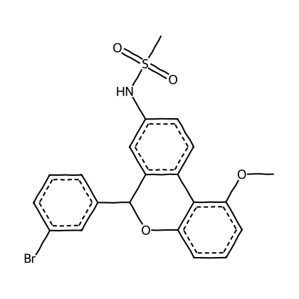 COc1cccc2c1-c1ccc(NS(C)(=O)=O)cc1C(c1cccc(Br)c1)O2